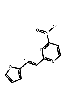 O=[N+]([O-])c1ccnc(C=Cc2ccco2)n1